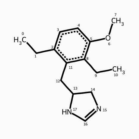 CCc1ccc(OC)c(CC)c1CC1CN=CN1